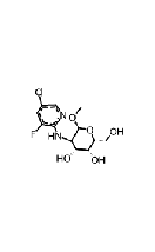 CO[C@H]1O[C@H](CO)[C@H](O)[C@H](O)[C@H]1Nc1ncc(Cl)cc1F